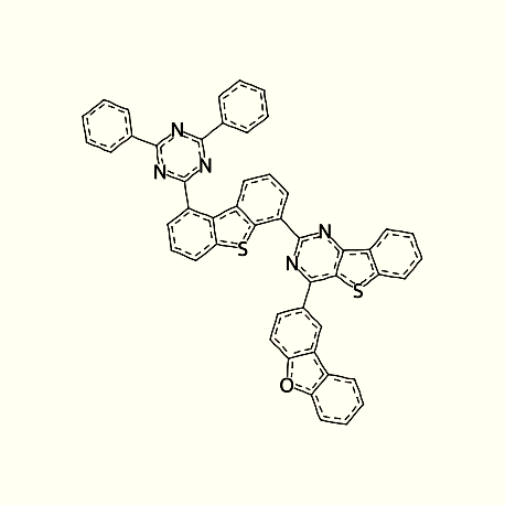 c1ccc(-c2nc(-c3ccccc3)nc(-c3cccc4sc5c(-c6nc(-c7ccc8oc9ccccc9c8c7)c7sc8ccccc8c7n6)cccc5c34)n2)cc1